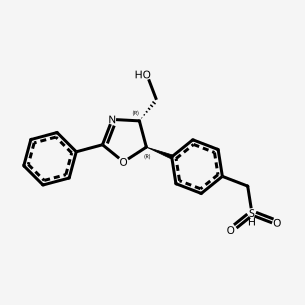 O=[SH](=O)Cc1ccc([C@H]2OC(c3ccccc3)=N[C@@H]2CO)cc1